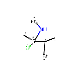 CCN[Si](C)(Cl)C(C)CC